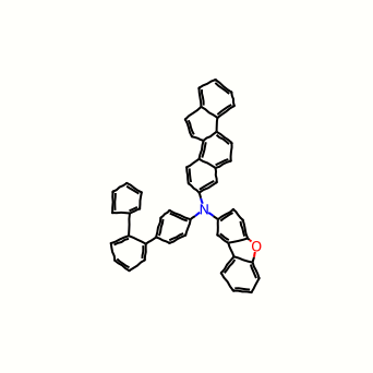 c1ccc(-c2ccccc2-c2ccc(N(c3ccc4c(ccc5c6ccccc6ccc45)c3)c3ccc4oc5ccccc5c4c3)cc2)cc1